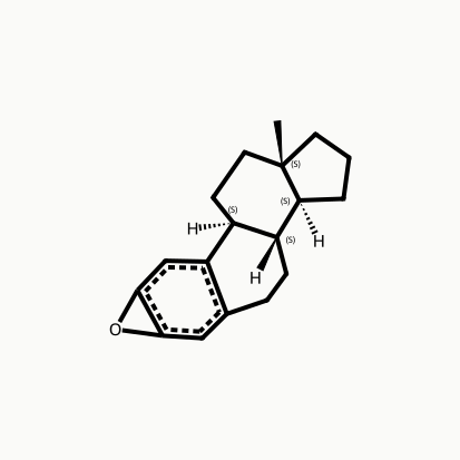 C[C@@]12CCC[C@H]1[C@@H]1CCc3cc4c(cc3[C@H]1CC2)O4